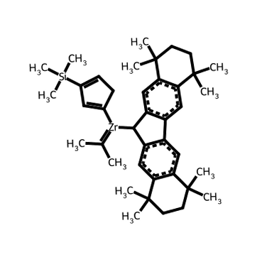 C[C](C)=[Zr]([C]1=CC([Si](C)(C)C)=CC1)[CH]1c2cc3c(cc2-c2cc4c(cc21)C(C)(C)CCC4(C)C)C(C)(C)CCC3(C)C